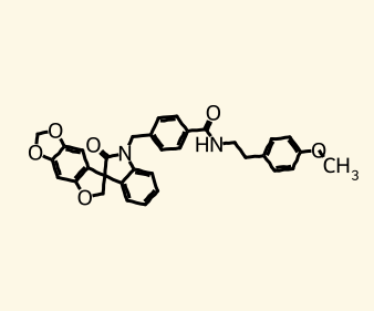 COc1ccc(CCNC(=O)c2ccc(CN3C(=O)C4(COc5cc6c(cc54)OCO6)c4ccccc43)cc2)cc1